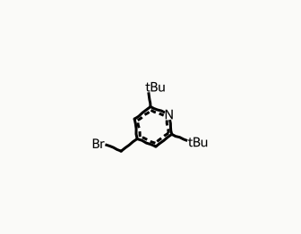 CC(C)(C)c1cc(CBr)cc(C(C)(C)C)n1